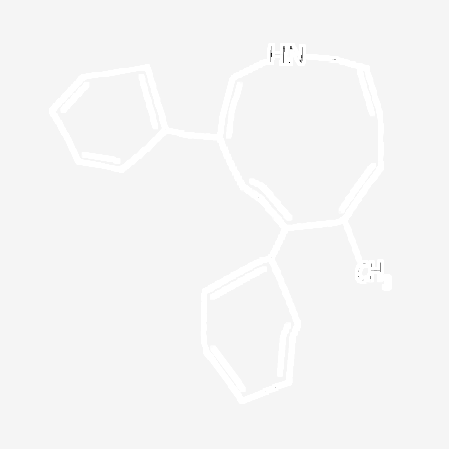 Cc1ccc[nH]cc(-c2ccccc2)cc1-c1ccccc1